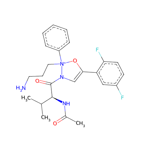 CC(=O)N[C@H](C(=O)N1C=C(c2cc(F)ccc2F)O[N+]1(CCCN)c1ccccc1)C(C)C